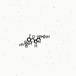 CCCS(=O)(=O)Nc1ccc(F)c(C(=O)c2c[nH]c3ncc(NC4CNC4)cc23)c1F